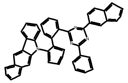 c1ccc(-c2nc(-c3ccc4ccccc4c3)nc(-c3ccccc3-c3ccccc3-n3c4ccccc4c4cc5ccccc5cc43)n2)cc1